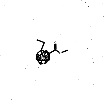 CC[C]12[CH]3[CH]4[CH]5[C]1(C(=O)OC)[Fe]43521678[CH]2[CH]1[CH]6[CH]7[CH]28